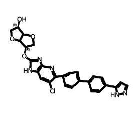 O[C@@H]1COC2C1OC[C@H]2Oc1nc2nc(-c3ccc(-c4ccc(-c5ccn[nH]5)cc4)cc3)c(Cl)cc2[nH]1